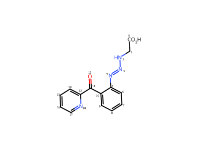 O=C(O)CNN=Nc1ccccc1C(=O)c1ccccn1